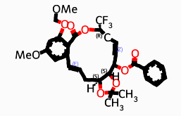 COCOc1cc(OC)cc2c1C(=O)O[C@@H](C(F)(F)F)C/C=C\C(OC(=O)c1ccccc1)[C@H]1OC(C)(C)O[C@H]1C/C=C/2